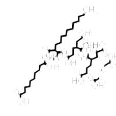 CCCCCCCCCCCC(C(=O)O)C(=O)O.O=C(O)CCC(CC(=O)O)C(=O)O.O=C(O)CCCC(CCC(=O)O)C(=O)O.O=C(O)CCCCC(=O)O.O=C(O)CCCCCCCCC(=O)O